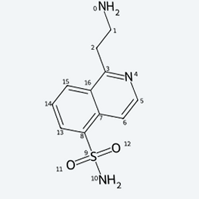 NCCc1nccc2c(S(N)(=O)=O)cccc12